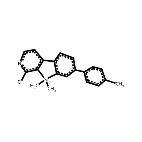 Cc1ccc(-c2ccc3c(c2)[Si](C)(C)c2c-3ccnc2Cl)cc1